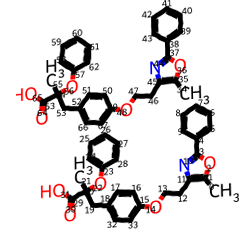 Cc1oc(-c2ccccc2)nc1CCOc1ccc(CC(C)(Oc2ccccc2)C(=O)O)cc1.Cc1oc(-c2ccccc2)nc1CCOc1ccc(CC(C)(Oc2ccccc2)C(=O)O)cc1